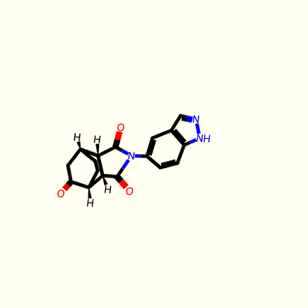 O=C1C[C@H]2CC[C@@H]1[C@H]1C(=O)N(c3ccc4[nH]ncc4c3)C(=O)[C@@H]21